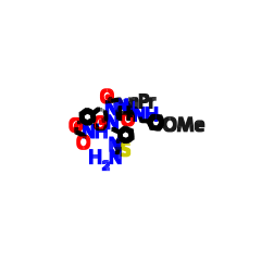 CCCN(C(=O)NCc1ccc(OC)cc1)N1CC(=O)N2[C@@H](Cc3ccc4c(c3)NC(=O)CO4)C(=O)N(Cc3cccc4sc(N)nc34)C[C@@H]21